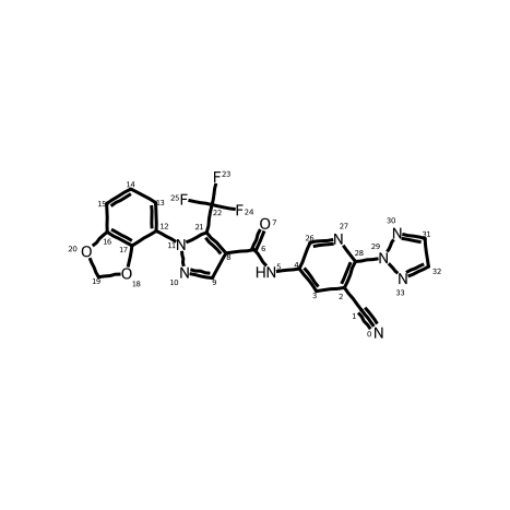 N#Cc1cc(NC(=O)c2cnn(-c3cccc4c3OCO4)c2C(F)(F)F)cnc1-n1nccn1